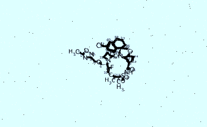 Cc1nc(COC[C@H]2/C(F)=C/C[C@H](C)[C@@H](C)S(=O)(=O)NC(=O)c3ccc4c(c3)N(C[C@@H]3CCN32)C[C@@]2(CCCc3cc(Cl)ccc32)CO4)no1